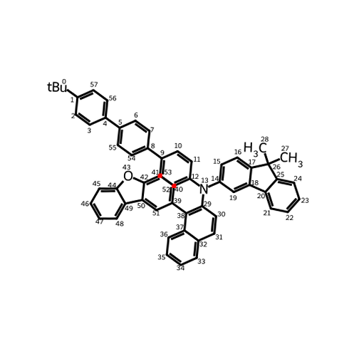 CC(C)(C)c1ccc(-c2ccc(-c3ccc(N(c4ccc5c(c4)-c4ccccc4C5(C)C)c4ccc5ccccc5c4-c4ccc5oc6ccccc6c5c4)cc3)cc2)cc1